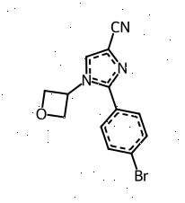 N#Cc1cn(C2COC2)c(-c2ccc(Br)cc2)n1